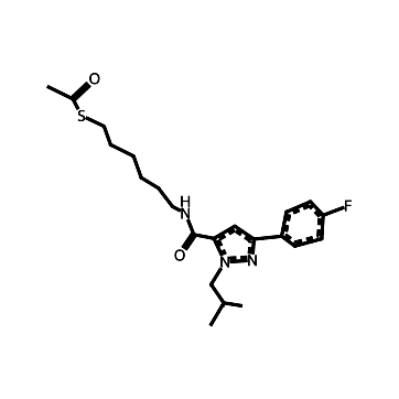 C[C](C)Cn1nc(-c2ccc(F)cc2)cc1C(=O)NCCCCCCSC(C)=O